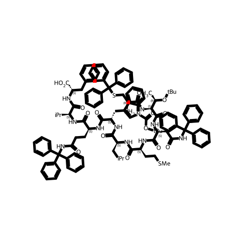 CSCC[C@H](NC(=O)[C@H](CC(=O)NC(c1ccccc1)(c1ccccc1)c1ccccc1)NC(=O)[C@@H](NC(=O)[C@@H](N)CSC(c1ccccc1)(c1ccccc1)c1ccccc1)[C@@H](C)OC(C)(C)C)C(=O)N[C@@H](CC(C)C)C(=O)N[C@@H](Cc1cn(C(=O)OC(C)(C)C)c2ccccc12)C(=O)N[C@@H](CCC(=O)NC(c1ccccc1)(c1ccccc1)c1ccccc1)C(=O)N[C@H](C(=O)N[C@@H](Cc1ccccc1)C(=O)O)C(C)C